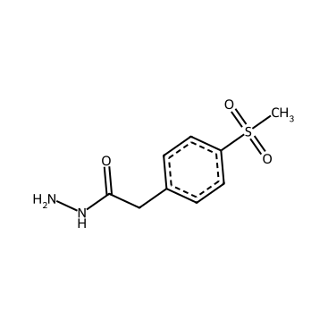 CS(=O)(=O)c1ccc(CC(=O)NN)cc1